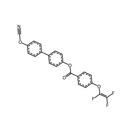 N#COc1ccc(-c2ccc(OC(=O)c3ccc(OC(F)=C(F)F)cc3)cc2)cc1